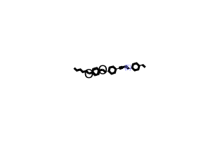 CCCCCOc1ccc(OC[C@H]2CC[C@H](C#C/C=C/[C@H]3CC[C@H](CC)CC3)CC2)cc1